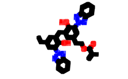 C=C(C)C(=O)OCCc1cc(Cc2cc(CC)cc(-n3nc4ccccc4n3)c2O)c(O)c(-n2nc3ccccc3n2)c1